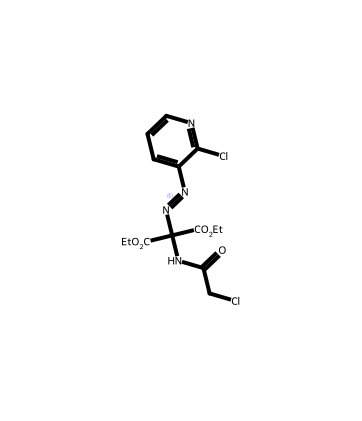 CCOC(=O)C(/N=N/c1cccnc1Cl)(NC(=O)CCl)C(=O)OCC